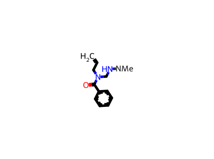 C=CCN(CNNC)C(=O)c1ccccc1